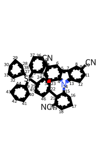 N#Cc1ccc2c(c1)c1cc(C#N)ccc1n2-c1cccc(C#N)c1-c1ccc([Si](c2ccccc2)(c2ccccc2)c2ccccc2)cc1